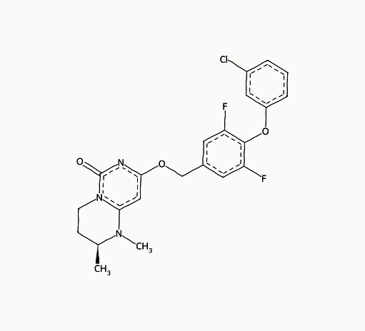 C[C@H]1CCn2c(cc(OCc3cc(F)c(Oc4cccc(Cl)c4)c(F)c3)nc2=O)N1C